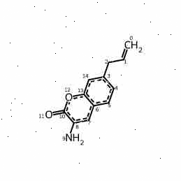 C=CCc1ccc2cc(N)c(=O)oc2c1